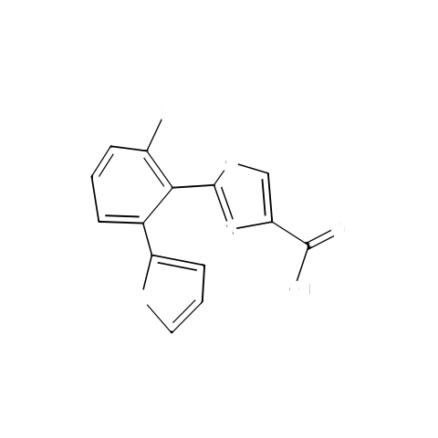 O=C(O)c1coc(-c2c(Cl)cccc2-c2cccs2)n1